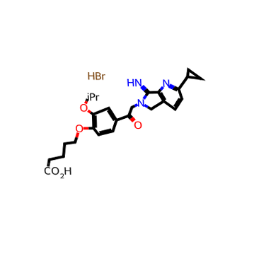 Br.CC(C)Oc1cc(C(=O)CN2Cc3ccc(C4CC4)nc3C2=N)ccc1OCCCCC(=O)O